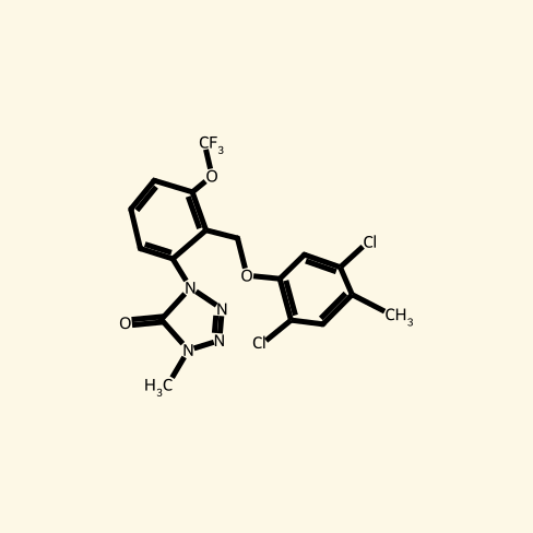 Cc1cc(Cl)c(OCc2c(OC(F)(F)F)cccc2-n2nnn(C)c2=O)cc1Cl